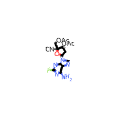 [C-]#[N+][C@]1(COC(C)=O)O[C@@H](n2cnc3c(N)nc(F)nc32)C[C@H]1OC(C)=O